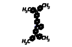 Cc1ccc(N(c2ccc(C)cc2)c2ccc(/C=C(\c3ccccc3)c3ccc(-c4ccc(N(c5ccc(C)cc5)c5ccc(C)cc5)cc4)cc3)cc2)cc1